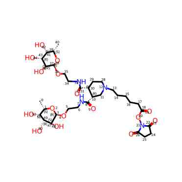 C[C@@H]1O[C@@H](OCCNC(=O)[C@H]2CN(CCCCCC(=O)ON3C(=O)CCC3=O)CC[C@H]2C(=O)NCCO[C@@H]2O[C@@H](C)[C@@H](O)[C@@H](O)[C@@H]2O)[C@@H](O)[C@H](O)[C@@H]1O